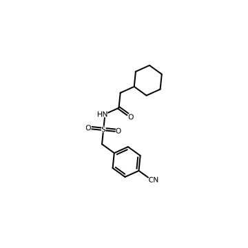 N#Cc1ccc(CS(=O)(=O)NC(=O)CC2CCCCC2)cc1